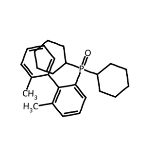 Cc1ccccc1-c1c(C)cccc1P(=O)(C1CCCCC1)C1CCCCC1